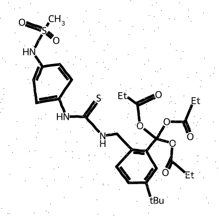 CCC(=O)OC(OC(=O)CC)(OC(=O)CC)c1cc(C(C)(C)C)ccc1CNC(=S)Nc1ccc(NS(C)(=O)=O)cc1